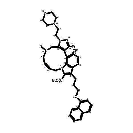 CCOC(=O)c1c(CCCOc2cccc3ccccc23)c2ccc(Cl)c3c2n1C/C=C\CN(C)Cc1c-3c(CC)nn1CCN1CCOCC1